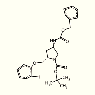 CC(C)(C)OC(=O)N1C[C@H](NC(=O)OCc2ccccc2)C[C@H]1COc1ccccc1I